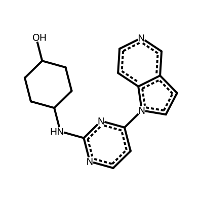 OC1CCC(Nc2nccc(-n3ccc4cnccc43)n2)CC1